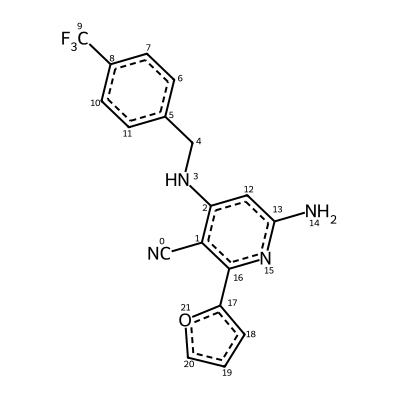 N#Cc1c(NCc2ccc(C(F)(F)F)cc2)cc(N)nc1-c1ccco1